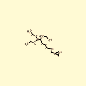 CCO.CCO[SiH](CCCCOCC1CO1)OCC